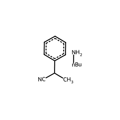 CC(C#N)c1ccccc1.CCCCN